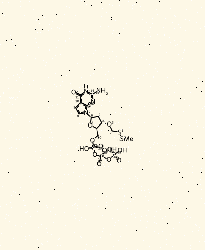 CSSCO[C@H]1C[C@H](n2ccc3c(=O)[nH]c(N)nc32)O[C@@H]1COP(=O)(O)OP(=O)(O)OP(=O)(O)O